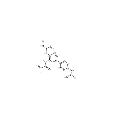 C=C(C)C(=O)Oc1cc(-c2ccc(NC(C)=O)cc2)nc2ccc(OC)cc12